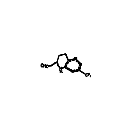 O=CC1CCc2ncc(C(F)(F)F)cc2N1